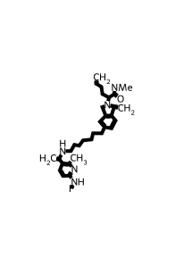 C=CCCC(C(=O)NC)N1Cc2cc(CCCCCCCNC(=C)c3ccc(NF)nc3C)ccc2C1=C